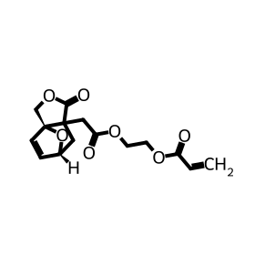 C=CC(=O)OCCOC(=O)CC12C[C@@H]3C=C[C@@]1(COC2=O)O3